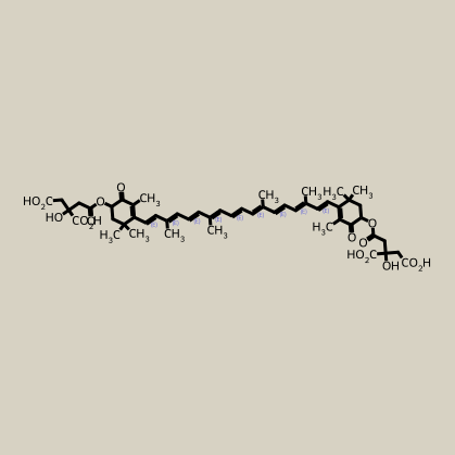 CC1=C(/C=C/C(C)=C/C=C/C(C)=C/C=C/C=C(C)/C=C/C=C(C)/C=C/C2=C(C)C(=O)C(OC(=O)CC(O)(CC(=O)O)C(=O)O)CC2(C)C)C(C)(C)CC(OC(=O)CC(O)(CC(=O)O)C(=O)O)C1=O